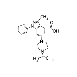 Cc1nn(-c2ccccc2)c2cc(N3CCN(C(C)C)CC3)ccc12.O=CO